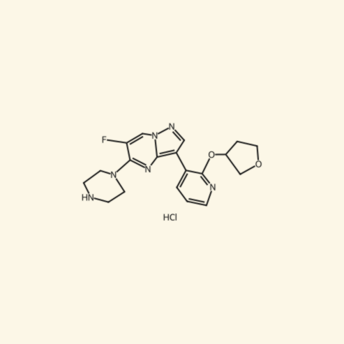 Cl.Fc1cn2ncc(-c3cccnc3OC3CCOC3)c2nc1N1CCNCC1